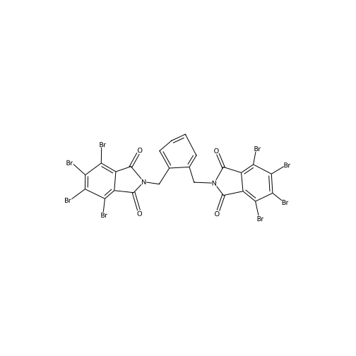 O=C1c2c(Br)c(Br)c(Br)c(Br)c2C(=O)N1Cc1ccccc1CN1C(=O)c2c(Br)c(Br)c(Br)c(Br)c2C1=O